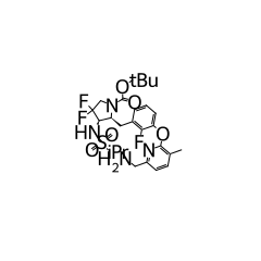 Cc1ccc(CN)nc1Oc1cccc(C[C@H]2[C@@H](NS(=O)(=O)C(C)C)C(F)(F)CN2C(=O)OC(C)(C)C)c1F